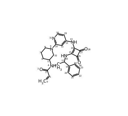 C=CC(=O)NC1CCCN(c2cc(Nc3c(NC(C)c4ccccc4)c(=O)c3=O)ccn2)C1